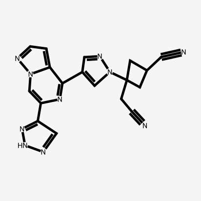 N#CCC1(n2cc(-c3nc(-c4cn[nH]n4)cn4nccc34)cn2)CC(C#N)C1